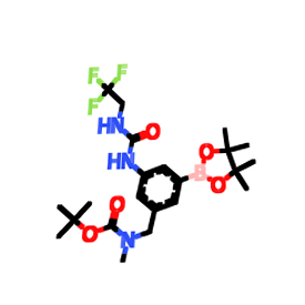 CN(Cc1cc(NC(=O)NCC(F)(F)F)cc(B2OC(C)(C)C(C)(C)O2)c1)C(=O)OC(C)(C)C